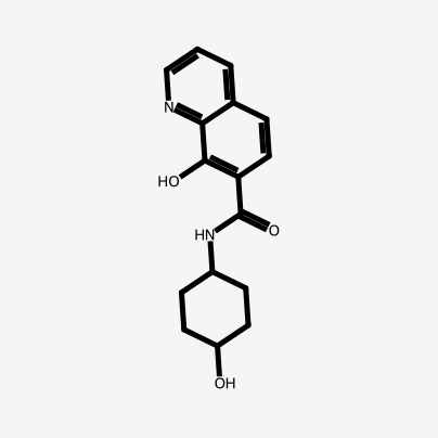 O=C(NC1CCC(O)CC1)c1ccc2cccnc2c1O